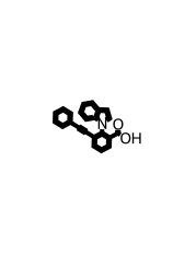 O=C(O)c1cccc(C#Cc2ccccc2)c1-n1ccc2ccccc21